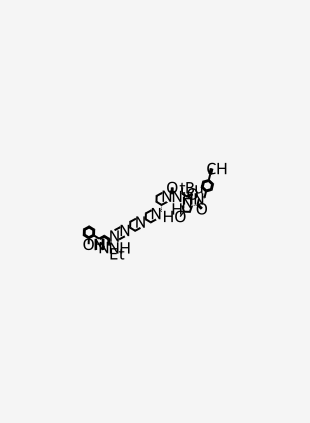 C#Cc1ccc(CNC(=O)[C@@H]2C[C@@H](O)CN2C(=O)[C@@H](NC(=O)N2CCC[C@@H](CN3CCC(N4CCC(N5CCN(c6cc(-c7ccccc7O)nnc6NCC)CC5)CC4)CC3)C2)C(C)(C)C)cc1